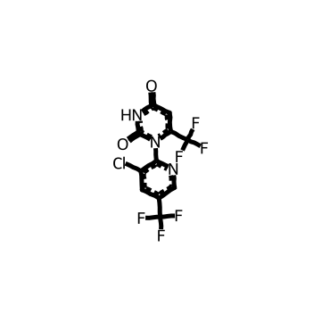 O=c1cc(C(F)(F)F)n(-c2ncc(C(F)(F)F)cc2Cl)c(=O)[nH]1